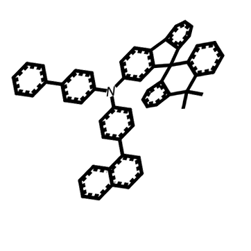 CC1(C)c2ccccc2C2(c3ccccc3-c3ccc(N(c4ccc(-c5ccccc5)cc4)c4ccc(-c5cccc6ccccc56)cc4)cc32)c2ccccc21